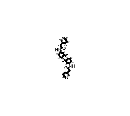 O=C(Cc1cccnc1)Nc1ccc2c(c1)Oc1ccc(NC(=O)Cc3cccnc3)cc1O2